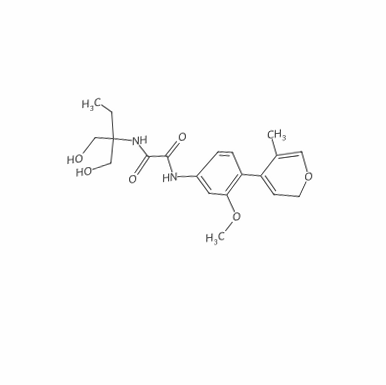 CCC(CO)(CO)NC(=O)C(=O)Nc1ccc(C2=CCOC=C2C)c(OC)c1